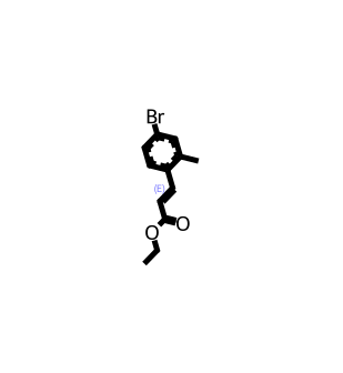 CCOC(=O)/C=C/c1ccc(Br)cc1C